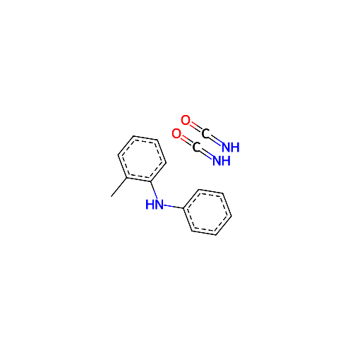 Cc1ccccc1Nc1ccccc1.N=C=O.N=C=O